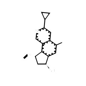 C=C[C@H]1C[C@H](N)c2cc(C)c3cc(C4CC4)ncc3c21